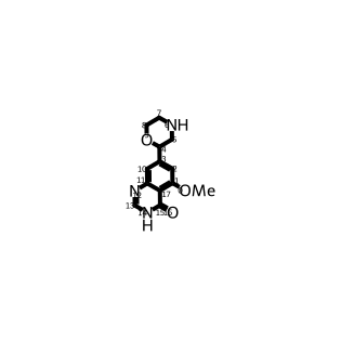 COc1cc(C2CNCCO2)cc2nc[nH]c(=O)c12